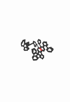 c1ccc(-c2ccccc2-c2ccccc2-c2ccccc2N(c2ccc(-c3cc4ccccc4c4ccccc34)cc2)c2ccc3c(c2)C(c2ccccc2)(c2ccccc2)c2ccccc2-3)cc1